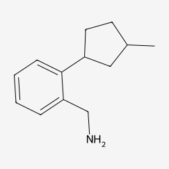 CC1CCC(c2ccccc2CN)C1